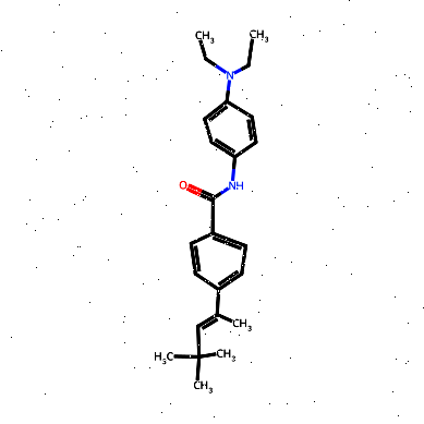 CCN(CC)c1ccc(NC(=O)c2ccc(/C(C)=C/C(C)(C)C)cc2)cc1